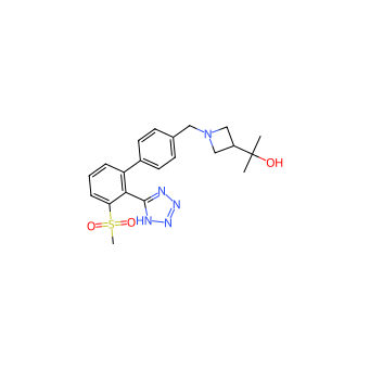 CC(C)(O)C1CN(Cc2ccc(-c3cccc(S(C)(=O)=O)c3-c3nnn[nH]3)cc2)C1